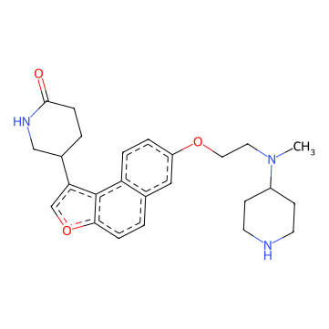 CN(CCOc1ccc2c(ccc3occ(C4CCC(=O)NC4)c32)c1)C1CCNCC1